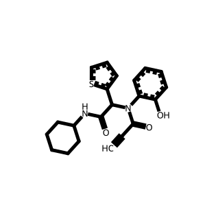 C#CC(=O)N(c1ccccc1O)C(C(=O)NC1CCCCC1)c1cccs1